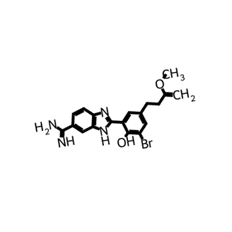 C=C(CCc1cc(Br)c(O)c(-c2nc3ccc(C(=N)N)cc3[nH]2)c1)OC